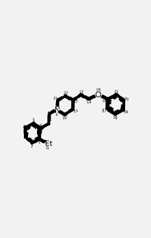 CCc1ccccc1CCN1CCC(CCOc2ccccc2)CC1